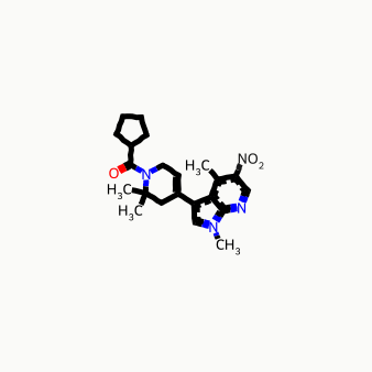 Cc1c([N+](=O)[O-])cnc2c1c(C1=CCN(C(=O)C3CCCC3)C(C)(C)C1)cn2C